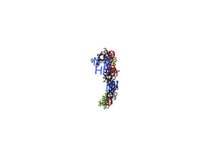 CC(C)c1ccc(N(C)C)cc1N1C(=O)CS/C1=N\C(=O)Nc1ccc(-c2ncn(-c3ccc(OC(F)(F)F)cc3)n2)cc1Br